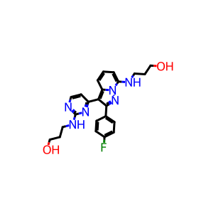 OCCCNc1nccc(-c2c(-c3ccc(F)cc3)nn3c(NCCCO)cccc23)n1